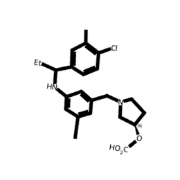 CCC(Nc1cc(C)cc(CN2CC[C@@H](OC(=O)O)C2)c1)c1ccc(Cl)c(C)c1